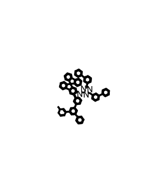 CC1C=C(c2cc(-c3ccccc3)cc(-c3ccc4c(c3)c3cc5c(cc3n4-c3nc(-c4cccc(-c6ccccc6)c4)nc(-c4cccc(-c6ccccc6)c4)n3)C3(c4ccccc4-c4ccccc43)c3ccccc3-5)c2)C=CC1